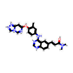 Cc1cc(Nc2ncnc3ccc(/C=C/C(=O)N(C)C)cc23)ccc1Oc1cc2nncn2cn1